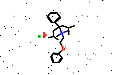 CC(C)CC(CC(C)C)(c1ccccc1)[N+](C)(C)CCOc1ccccc1.O.[Cl-]